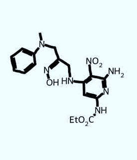 CCOC(=O)Nc1cc(NCC(CN(C)c2ccccc2)=NO)c([N+](=O)[O-])c(N)n1